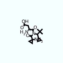 CC(C)(C)C(C1CC1)N(C(=O)[C@@H](N)CC(=O)O)C(=O)C1(N)CC1